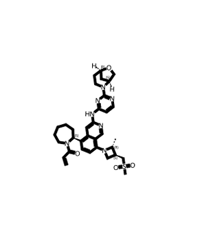 C=CC(=O)N1CCCCC[C@H]1c1ccc(N2C[C@H](CS(C)(=O)=O)[C@H]2C)c2cnc(Nc3ccnc(N4CC[C@@H]5C[C@H]4CO5)n3)cc12